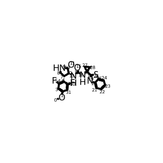 COc1cc(F)c([C@@H]2CNC(=O)[C@H]2NC(=O)NC2(c3nc4ccccc4s3)CC2)c(F)c1